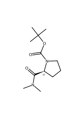 CN(C)C(=O)[C@@H]1CCCN1C(=O)OC(C)(C)C